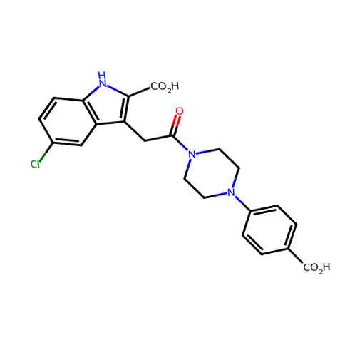 O=C(O)c1ccc(N2CCN(C(=O)Cc3c(C(=O)O)[nH]c4ccc(Cl)cc34)CC2)cc1